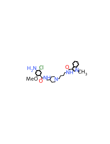 COc1cc(N)c(Cl)cc1C(=O)NCC1CCN(CCCCNC(=O)c2cn(C)c3ccccc23)CC1